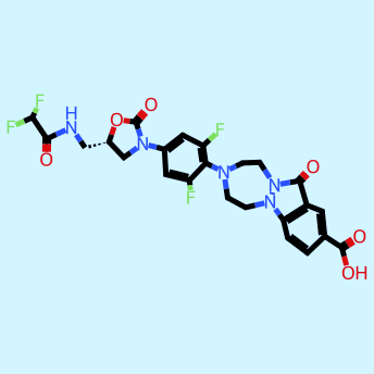 O=C(O)c1ccc2c(c1)c(=O)n1n2CCN(c2c(F)cc(N3C[C@H](CNC(=O)C(F)F)OC3=O)cc2F)CC1